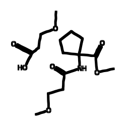 COCCC(=O)NC1(C(=O)OC)CCCC1.COCCC(=O)O